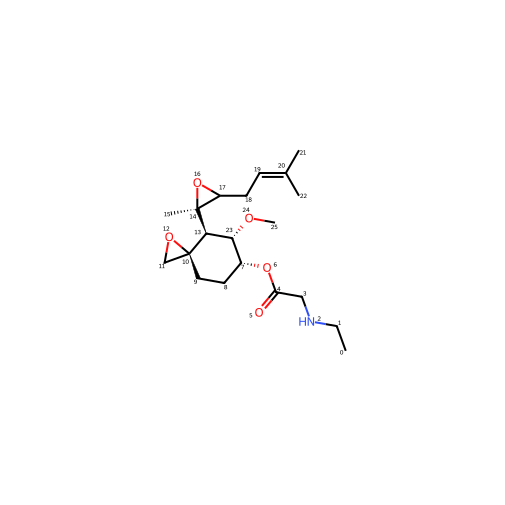 CCNCC(=O)O[C@@H]1CC[C@]2(CO2)[C@@H]([C@@]2(C)OC2CC=C(C)C)[C@@H]1OC